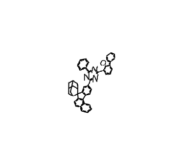 c1ccc(-c2nc(-c3ccc4c(c3)C3(c5ccc6ccccc6c5-4)C4CC5CC(C4)CC3C5)nc(-c3cccc4c3oc3ccccc34)n2)cc1